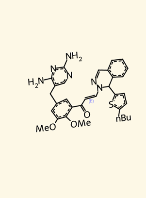 CCCCc1ccc(C2c3ccccc3C=NN2/C=C/C(=O)c2cc(Cc3cnc(N)nc3N)cc(OC)c2OC)s1